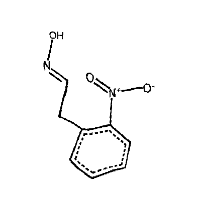 O=[N+]([O-])c1ccccc1CC=NO